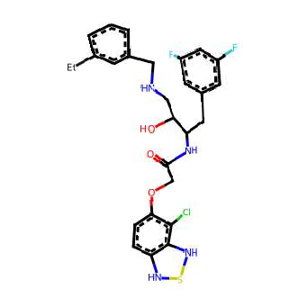 CCc1cccc(CNCC(O)C(Cc2cc(F)cc(F)c2)NC(=O)COc2ccc3c(c2Cl)NSN3)c1